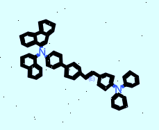 C(=C\c1ccc(N(c2ccccc2)c2ccccc2)cc1)/c1ccc(-c2ccc(N(c3cccc4ccccc34)c3cc4ccccc4c4ccccc34)cc2)cc1